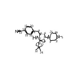 CN1CCN(CC[C@@H](Cc2ccc(C#N)cc2)NC(=O)OC(C)(C)C)CC1